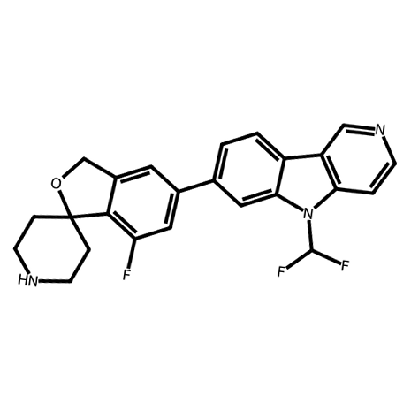 Fc1cc(-c2ccc3c4cnccc4n(C(F)F)c3c2)cc2c1C1(CCNCC1)OC2